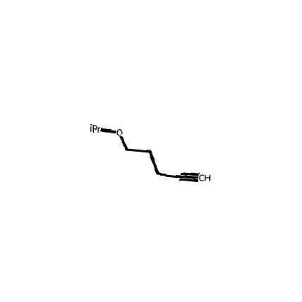 C#CCCCOC(C)C